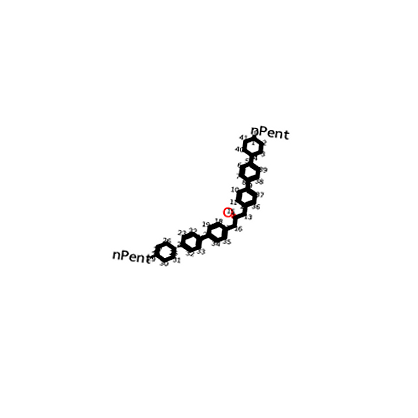 CCCCCC1CCC(c2ccc(-c3ccc(CC(=O)Cc4ccc(-c5ccc([C@H]6CC[C@H](CCCCC)CC6)cc5)cc4)cc3)cc2)CC1